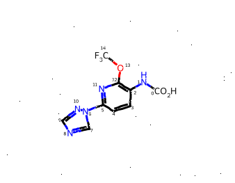 O=C(O)Nc1ccc(-n2cncn2)nc1OC(F)(F)F